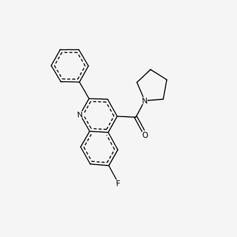 O=C(c1cc(-c2ccccc2)nc2ccc(F)cc12)N1CCCC1